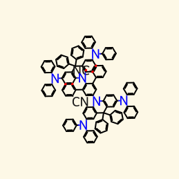 N#Cc1ccccc1-c1cc(N2c3ccc(N(c4ccccc4)c4ccccc4)cc3C(c3ccccc3)(c3ccccc3)c3cc(N(c4ccccc4)c4ccccc4)ccc32)cc(-c2ccccc2C#N)c1N1c2ccc(N(c3ccccc3)c3ccccc3)cc2C(c2ccccc2)(c2ccccc2)c2cc(N(c3ccccc3)c3ccccc3)ccc21